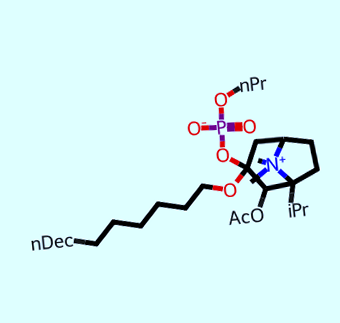 CCCCCCCCCCCCCCCCOC1(OP(=O)([O-])OCCC)CC2CCC(C(C)C)(C1OC(C)=O)[N+]2(C)C